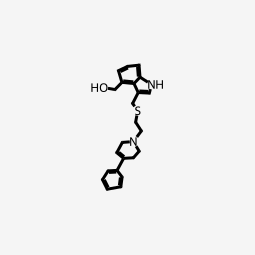 OCc1cccc2[nH]cc(CSCCN3CC=C(c4ccccc4)CC3)c12